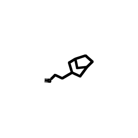 OCCC1CC2CCC(C1)C2